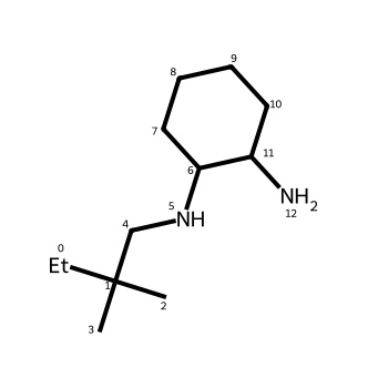 CCC(C)(C)CNC1CCCCC1N